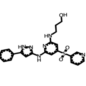 O=S(=O)(c1cccnc1)c1cc(NCCCO)nc(Nc2cc(-c3ccccc3)[nH]n2)c1